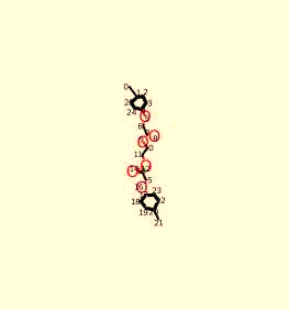 Cc1ccc(OCC(=O)OCCOC(=O)COc2ccc(C)cc2)cc1